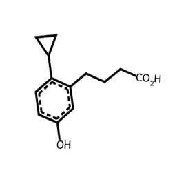 O=C(O)CCCc1cc(O)ccc1C1CC1